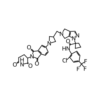 O=C1CCC(N2C(=O)c3ccc(N4CC(CN5Cc6cnn(C7(C(=O)Nc8ccc(C(F)(F)F)cc8Cl)CCC7)c6C5)C4)cc3C2=O)C(=O)N1